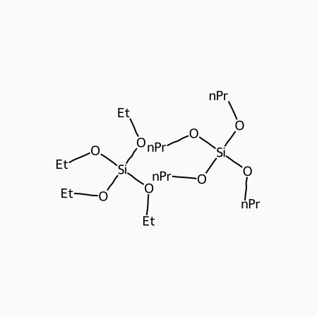 CCCO[Si](OCCC)(OCCC)OCCC.CCO[Si](OCC)(OCC)OCC